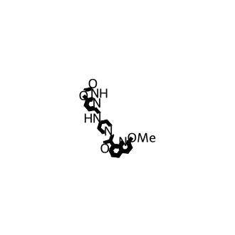 COc1ccc2ccc3c(c2n1)C(CN1CCC(NCc2ccc4c(n2)NC(=O)CO4)CC1)CO3